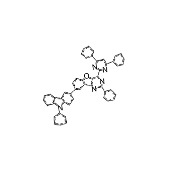 c1ccc(-c2cc(-c3ccccc3)nc(-c3nc(-c4ccccc4)nc4c3oc3ccc(-c5ccc6c(c5)c5ccccc5n6-c5ccccc5)cc34)n2)cc1